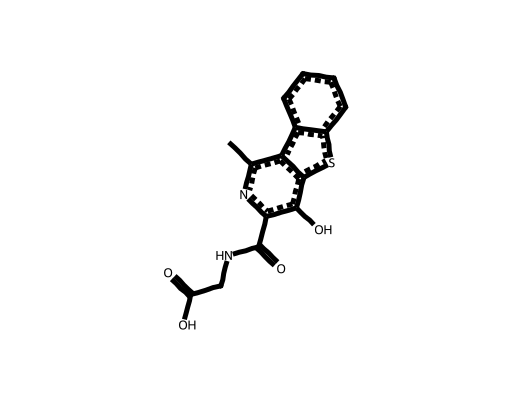 Cc1nc(C(=O)NCC(=O)O)c(O)c2sc3ccccc3c12